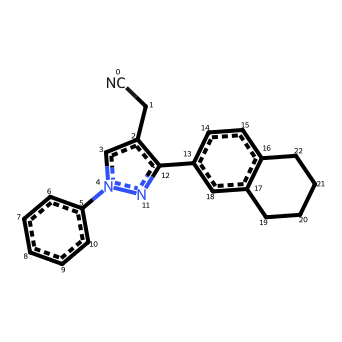 N#CCc1cn(-c2ccccc2)nc1-c1ccc2c(c1)CCCC2